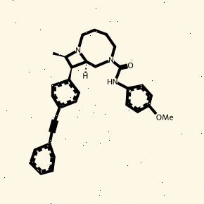 COc1ccc(NC(=O)N2CCCCN3[C@H](C)[C@H](c4ccc(C#Cc5ccccc5)cc4)[C@@H]3C2)cc1